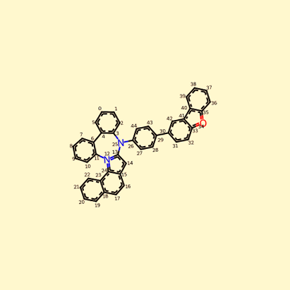 c1ccc2c(c1)-c1ccccc1-n1c(cc3ccc4ccccc4c31)N2c1ccc(-c2ccc3oc4ccccc4c3c2)cc1